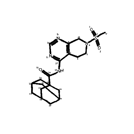 CS(=O)(=O)N1CCc2c(ncnc2NC(=O)C23CC4CC(CC(C4)C2)C3)C1